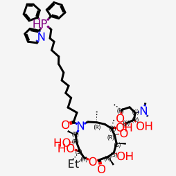 CC[C@H]1OC(=O)[C@H](C)[C@@H](O)[C@H](C)[C@@H](O[C@@H]2O[C@H](C)C[C@H](N(C)C)[C@H]2O)[C@](C)(O)C[C@@H](C)CN(C(=O)CCCCCCCCCCCCC[PH](c2ccccc2)(c2ccccc2)c2ccccn2)[C@H](C)[C@@H](O)[C@]1(C)O